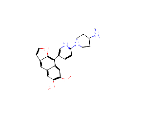 COc1cc2cc3ccoc3c(-c3ccc(N4CCC(N(C)C)CC4)nc3)c2cc1OC